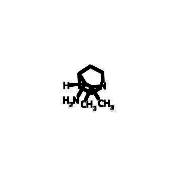 CC1(C)[C@H](N)C2CCN1CC2